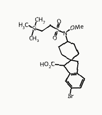 CON(C1CCC2(CC1)Cc1ccc(Br)cc1C2C(=O)O)S(=O)(=O)CC[Si](C)(C)C